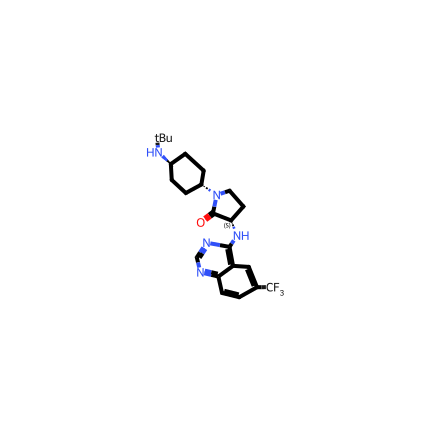 CC(C)(C)N[C@H]1CC[C@H](N2CC[C@H](Nc3ncnc4ccc(C(F)(F)F)cc34)C2=O)CC1